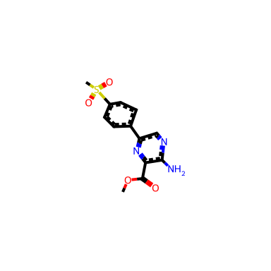 COC(=O)c1nc(-c2ccc(S(C)(=O)=O)cc2)cnc1N